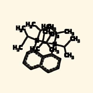 CC(C)[Si](c1cccc2cccc([Si](C(C)C)(C(C)C)C(C)C)c12)(C(C)C)C(C)C